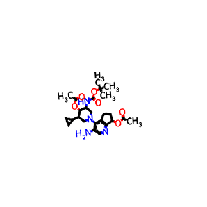 CC(=O)OC1CCc2c1ncc(N)c2N1CC(NC(=O)OC(C)(C)C)C(OC(C)=O)C(C2CC2)C1